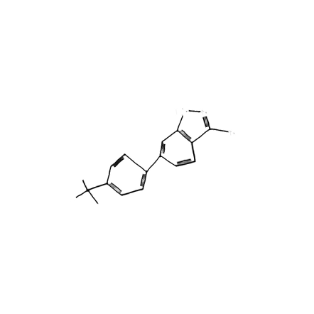 Nc1n[nH]c2cc(-c3ccc(C(F)(F)F)cc3)ccc12